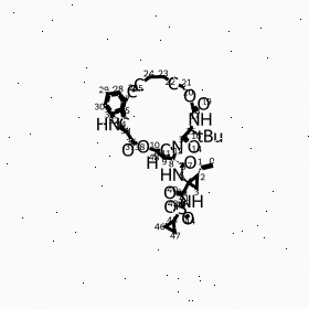 C=C[C@@H]1C[C@]1(NC(=O)[C@@H]1C[C@@H]2CN1C(=O)[C@H](C(C)(C)C)NC(=O)OCCCCCCc1cccc3[nH]c(cc13)C(=O)O2)C(=O)NS(=O)(=O)C1CC1